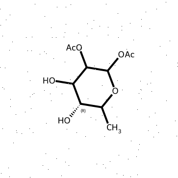 CC(=O)OC1OC(C)[C@H](O)C(O)C1OC(C)=O